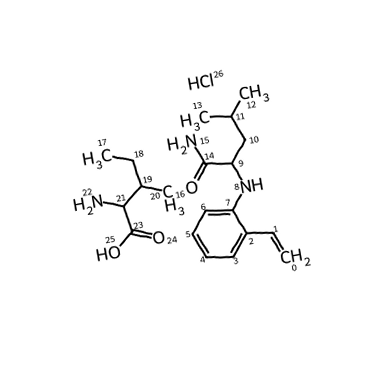 C=Cc1ccccc1NC(CC(C)C)C(N)=O.CCC(C)C(N)C(=O)O.Cl